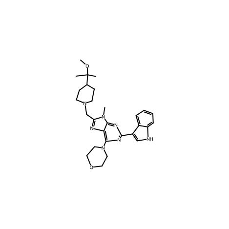 COC(C)(C)C1CCN(Cc2nc3c(N4CCOCC4)nc(-c4c[nH]c5ccccc45)nc3n2C)CC1